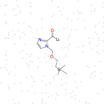 [Li][C](=O)c1nccn1COCC[Si](C)(C)C